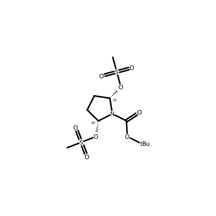 CC(C)(C)OC(=O)N1[C@@H](OS(C)(=O)=O)CC[C@H]1OS(C)(=O)=O